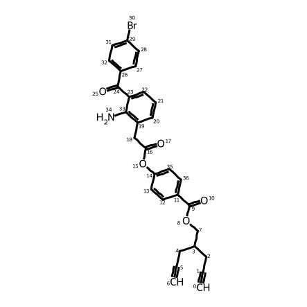 C#CCC(CC#C)COC(=O)c1ccc(OC(=O)Cc2cccc(C(=O)c3ccc(Br)cc3)c2N)cc1